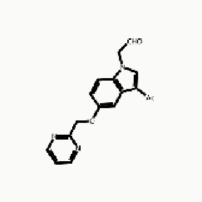 CC(=O)c1cn(CC=O)c2ccc(OCc3ncccn3)cc12